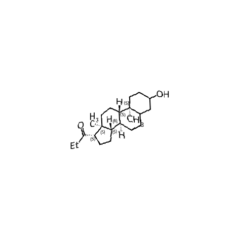 CCC(=O)[C@H]1CC[C@H]2[C@@H]3CCC4CC(O)CC[C@]4(C)[C@H]3CC[C@]12C